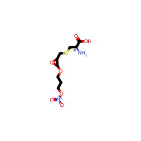 N[C@@H](CSCC1OC1OCCCO[N+](=O)[O-])C(=O)O